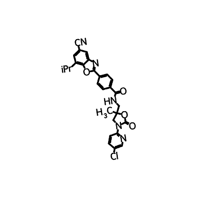 CC(C)c1cc(C#N)cc2nc(-c3ccc(C(=O)NCC4(C)CN(c5ccc(Cl)cn5)C(=O)O4)cc3)oc12